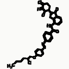 CCCCC(Cl)COc1ccc(/N=N/c2ccc(C(=O)Nc3cccc4c3CN(C3CCC(=O)NC3=O)C4=O)cc2)cc1